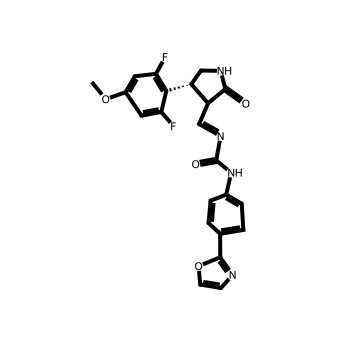 COc1cc(F)c([C@@H]2CNC(=O)C2/C=N/C(=O)Nc2ccc(-c3ncco3)cc2)c(F)c1